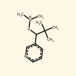 C[SiH](C)OC(c1cc[c]nc1)C(C)(C)C